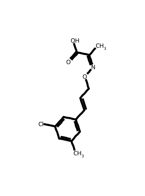 CC(=NOC/C=C/c1cc(C)cc(Cl)c1)C(=O)O